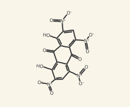 O=C1c2c([N+](=O)[O-])cc([N+](=O)[O-])c(O)c2C(=O)c2c(O)c([N+](=O)[O-])cc([N+](=O)[O-])c21